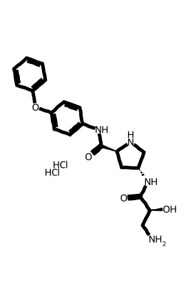 Cl.Cl.NC[C@H](O)C(=O)N[C@H]1CN[C@H](C(=O)Nc2ccc(Oc3ccccc3)cc2)C1